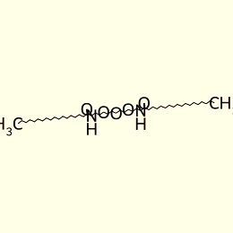 CCCCCCCCCCCCCCCCCC(=O)NCCOCCOCCOCCNC(=O)CCCCCCCCCCCCCCCCC